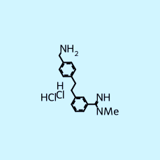 CNC(=N)c1cccc(CCc2ccc(CN)cc2)c1.Cl.Cl